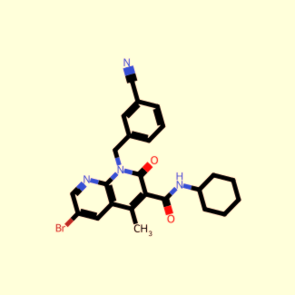 Cc1c(C(=O)NC2CCCCC2)c(=O)n(Cc2cccc(C#N)c2)c2ncc(Br)cc12